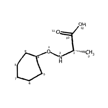 C[C@H](NOC1CCCCC1)C(=O)O